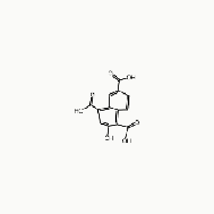 O=C(O)c1ccc2c(C(=O)O)c(O)cc(C(=O)O)c2c1